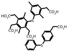 Cc1cc(CC(=O)O)c(C)c(Sc2c(C)c(CC(=O)O)c(CC(=O)O)c(C)c2CC(=O)O)c1.O=C(O)Cc1[c]cc(Sc2c[c][c]cc2)cc1